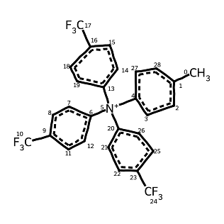 Cc1ccc([N+](c2ccc(C(F)(F)F)cc2)(c2ccc(C(F)(F)F)cc2)c2ccc(C(F)(F)F)cc2)cc1